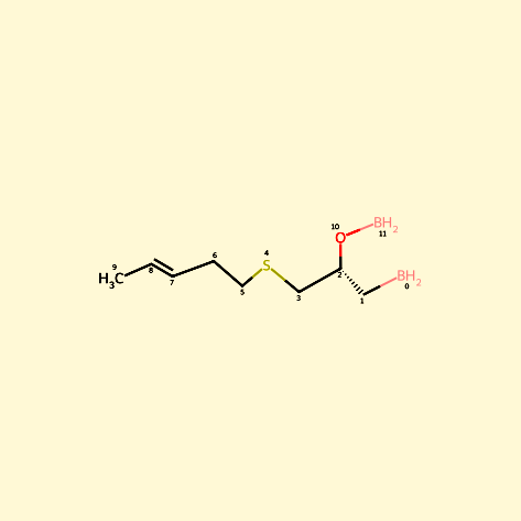 BC[C@H](CSCC/C=C/C)OB